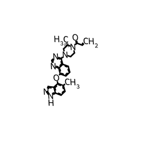 C=CC(=O)N1CCN(c2ncnc3c(Oc4c(C)ccc5[nH]ncc45)cccc23)C[C@H]1C